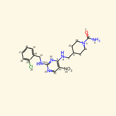 NC(=O)N1CCC(CNc2nc(NCc3ccccc3Cl)ncc2[N+](=O)[O-])CC1